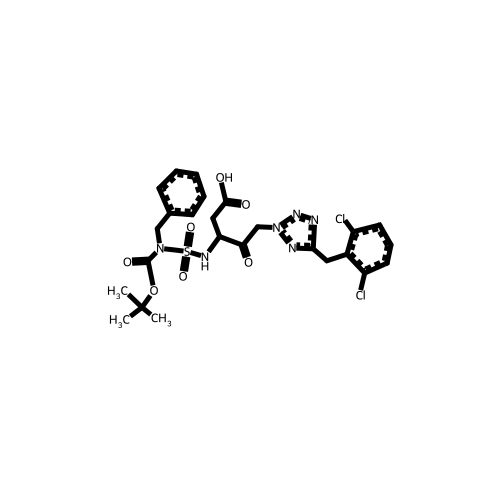 CC(C)(C)OC(=O)N(Cc1ccccc1)S(=O)(=O)NC(CC(=O)O)C(=O)Cn1nnc(Cc2c(Cl)cccc2Cl)n1